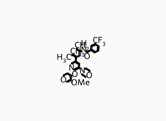 C=C/C(=C\C(=C(C)C)c1cnc(O[C@H]2CCOC[C@@H]2OC)c(N2CCOCC2)c1)NC(=O)c1cccc(C(F)(F)F)c1